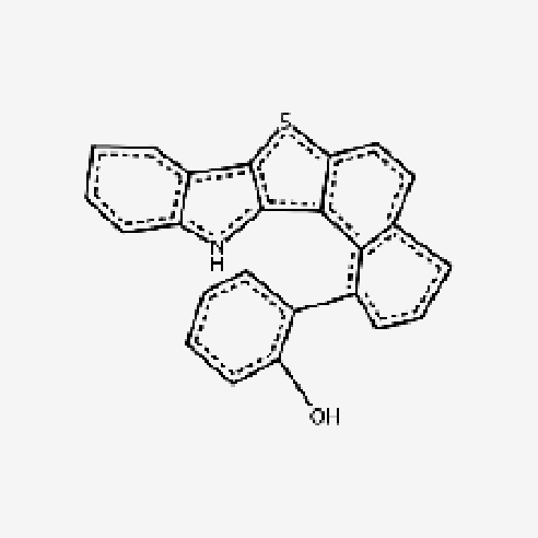 Oc1ccccc1-c1cccc2ccc3sc4c5ccccc5[nH]c4c3c12